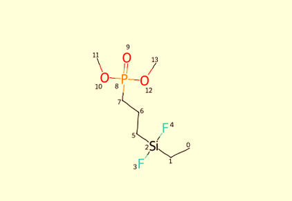 CC[Si](F)(F)CCCP(=O)(OC)OC